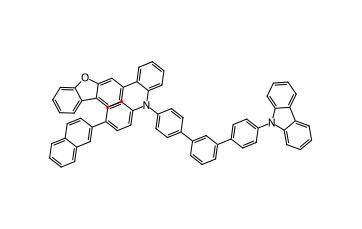 c1cc(-c2ccc(N(c3ccc(-c4ccc5ccccc5c4)cc3)c3ccccc3-c3ccc4c(c3)oc3ccccc34)cc2)cc(-c2ccc(-n3c4ccccc4c4ccccc43)cc2)c1